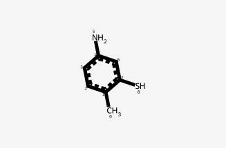 Cc1ccc(N)cc1S